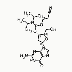 CC(C)N(C(C)C)P(OCCC#N)O[C@H]1C[C@H](n2cnc3c(=O)[nH]c(N)nc32)O[C@@H]1CO